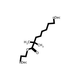 CCCCCCCCCCCCCCCCC(C)(C)C(=O)OCCCCCCCCCCCC